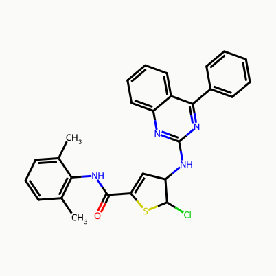 Cc1cccc(C)c1NC(=O)C1=CC(Nc2nc(-c3ccccc3)c3ccccc3n2)C(Cl)S1